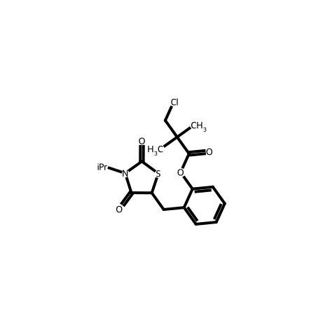 CC(C)N1C(=O)SC(Cc2ccccc2OC(=O)C(C)(C)CCl)C1=O